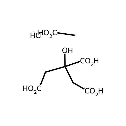 CC(=O)O.Cl.O=C(O)CC(O)(CC(=O)O)C(=O)O